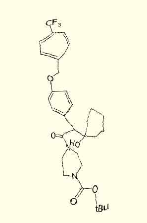 CC(C)(C)OC(=O)N1CCN(C(=O)C(c2ccc(OCc3ccc(C(F)(F)F)cc3)cc2)C2(O)CCCCC2)CC1